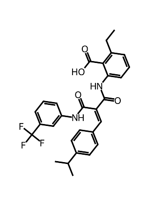 CCc1cccc(NC(=O)C(=Cc2ccc(C(C)C)cc2)C(=O)Nc2cccc(C(F)(F)F)c2)c1C(=O)O